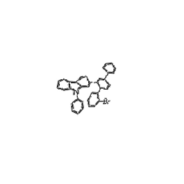 Brc1ccccc1-c1ccc(-c2ccccc2)cc1-c1ccc2c3ccccc3n(-c3ccccc3)c2c1